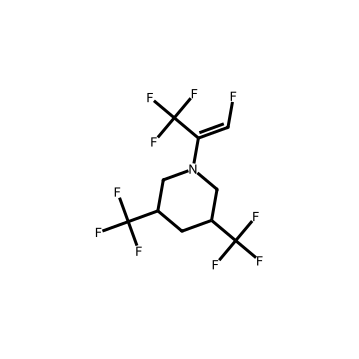 F/C=C(/N1CC(C(F)(F)F)CC(C(F)(F)F)C1)C(F)(F)F